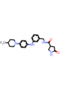 O=C1CC(C(=O)NCc2cccc(Nc3ccc(N4CCC(C(F)(F)F)CC4)cc3)c2)CN1